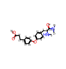 CN[C@@H](Cc1ccc(Oc2ccc(CCC(=O)OC)cc2)cc1)C(=O)N(C)C